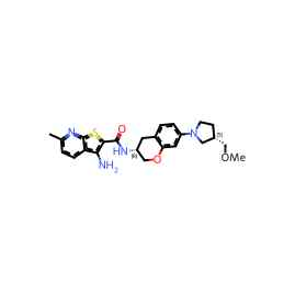 COC[C@H]1CCN(c2ccc3c(c2)OC[C@H](NC(=O)c2sc4nc(C)ccc4c2N)C3)C1